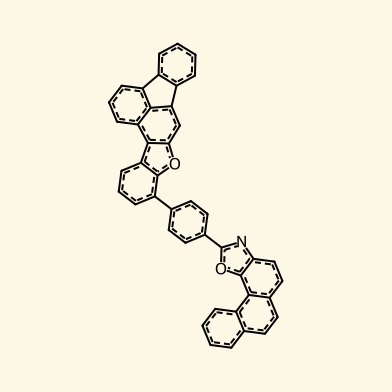 c1ccc2c(c1)-c1cccc3c1c-2cc1oc2c(-c4ccc(-c5nc6ccc7ccc8ccccc8c7c6o5)cc4)cccc2c13